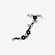 N#CCCCOc1ccc(C(F)(F)Oc2ccc(/C=C/C(=O)OCCOC(=O)c3cc(N)cc(N)c3)cc2)cc1